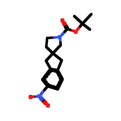 CC(C)(C)OC(=O)N1CCC2(Cc3ccc([N+](=O)[O-])cc3C2)C1